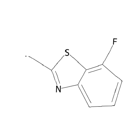 [CH2]c1nc2cccc(F)c2s1